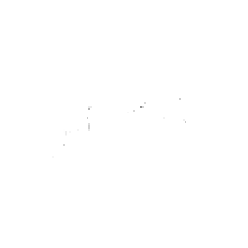 CCOC(=O)[C@H](C)NC(=O)CCC(NC(=O)OC(C)(C)C)C(=O)O